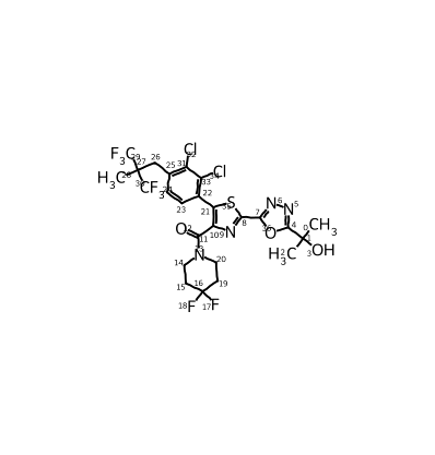 CC(C)(O)c1nnc(-c2nc(C(=O)N3CCC(F)(F)CC3)c(-c3ccc(CC(C)(C(F)(F)F)C(F)(F)F)c(Cl)c3Cl)s2)o1